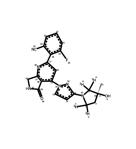 [2H]C1([2H])C[C@](C)(O)C([2H])([2H])N1c1ccn(-c2cc(-c3c(F)cccc3C#N)nc3c2C(=O)NC3)n1